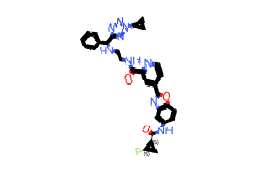 O=C(NCCNC(c1ccccc1)c1nnn(C2CC2)n1)c1cc(-c2nc3cc(NC(=O)[C@@H]4C[C@@H]4F)ccc3o2)ccn1